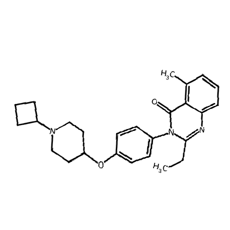 CCc1nc2cccc(C)c2c(=O)n1-c1ccc(OC2CCN(C3CCC3)CC2)cc1